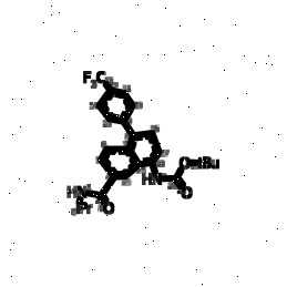 CC(C)NC(=O)c1ccc2c(-c3ccc(C(F)(F)F)cc3)ccc(NC(=O)OC(C)(C)C)c2c1